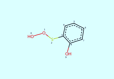 OOSc1ccccc1O